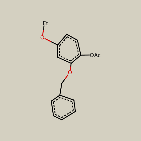 CCOc1ccc(OC(C)=O)c(OCc2ccccc2)c1